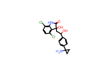 NC1(c2ccc(C(O)CC3(O)C(=O)Nc4c(Cl)ccc(Cl)c43)cc2)CC1